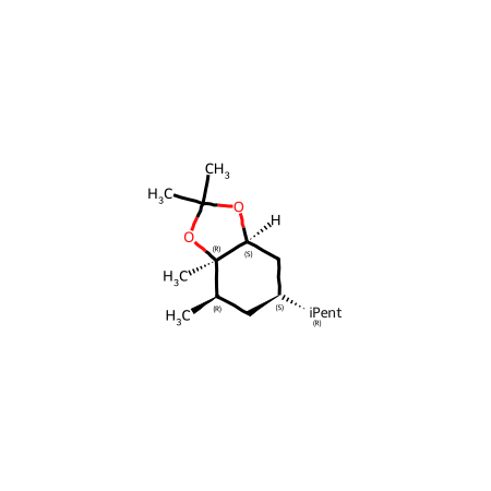 CCC[C@@H](C)[C@H]1C[C@@H](C)[C@@]2(C)OC(C)(C)O[C@H]2C1